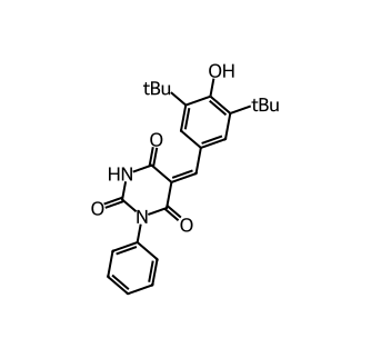 CC(C)(C)c1cc(C=C2C(=O)NC(=O)N(c3ccccc3)C2=O)cc(C(C)(C)C)c1O